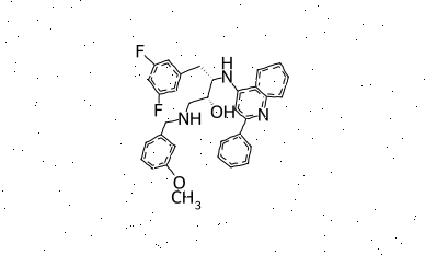 COc1cccc(CNC[C@@H](O)[C@H](Cc2cc(F)cc(F)c2)Nc2cc(-c3ccccc3)nc3ccccc23)c1